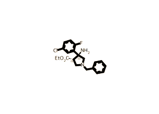 CCOC(=O)[C@H]1CN(Cc2ccccc2)C[C@@]1(N)c1cc(Cl)ccc1F